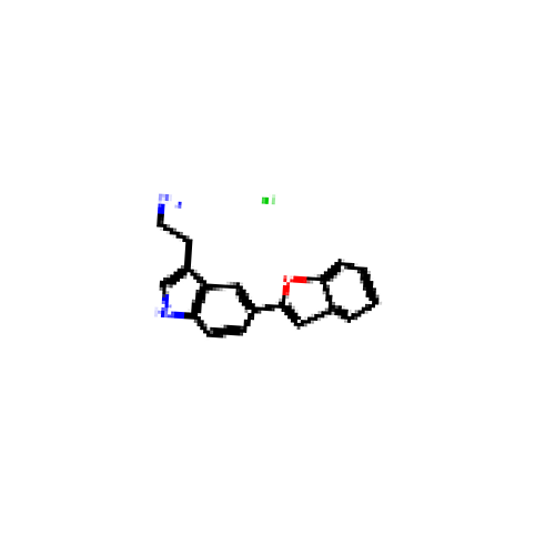 Cl.NCCc1c[nH]c2ccc(-c3cc4ccccc4o3)cc12